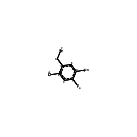 Fc1cc(Cl)c(CBr)cc1F